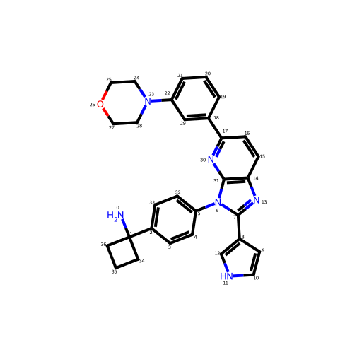 NC1(c2ccc(-n3c(-c4cc[nH]c4)nc4ccc(-c5cccc(N6CCOCC6)c5)nc43)cc2)CCC1